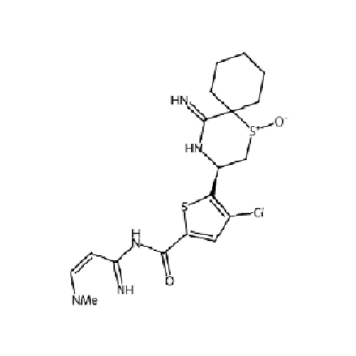 CN/C=C\C(=N)NC(=O)c1cc(Cl)c([C@@H]2C[S+]([O-])C3(CCCCC3)C(=N)N2)s1